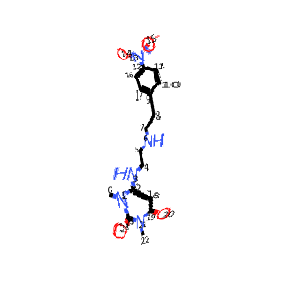 Cn1c(NCCNCCc2ccc([N+](=O)[O-])cc2)cc(=O)n(C)c1=O